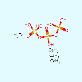 O=P(O)(O)OP(=O)(O)OP(=O)(O)O.[CaH2].[CaH2].[CaH2].[CaH2]